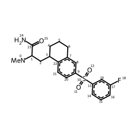 CNC(CC1CCCc2cc(S(=O)(=O)c3cccc(F)c3)ccc21)C(N)=O